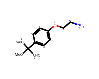 COC(C=O)(OC)c1ccc(OCCN)cc1